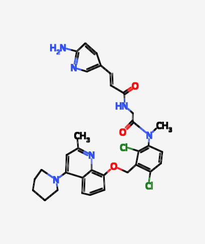 Cc1cc(N2CCCCC2)c2cccc(OCc3c(Cl)ccc(N(C)C(=O)CNC(=O)C=Cc4ccc(N)nc4)c3Cl)c2n1